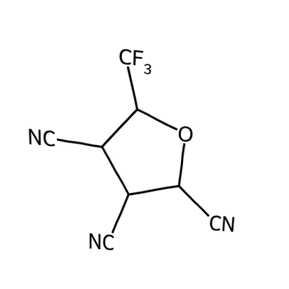 N#CC1OC(C(F)(F)F)C(C#N)C1C#N